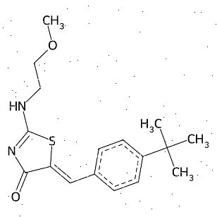 COCCNC1=NC(=O)C(=Cc2ccc(C(C)(C)C)cc2)S1